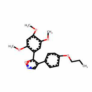 CCCOc1ccc(-c2cnoc2-c2cc(OC)c(OC)cc2OC)cc1